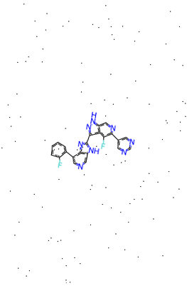 Fc1ccccc1-c1cncc2[nH]c(-c3n[nH]c4cnc(-c5cncnc5)c(F)c34)nc12